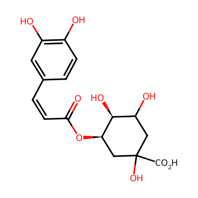 O=C(/C=C\c1ccc(O)c(O)c1)O[C@@H]1CC(O)(C(=O)O)CC(O)[C@@H]1O